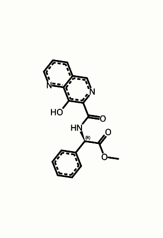 COC(=O)[C@H](NC(=O)c1ncc2cccnc2c1O)c1ccccc1